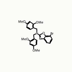 COc1ccc(CN(Cc2ccc(OC)cc2OC)c2nc3cccc(Br)c3o2)c(OC)c1